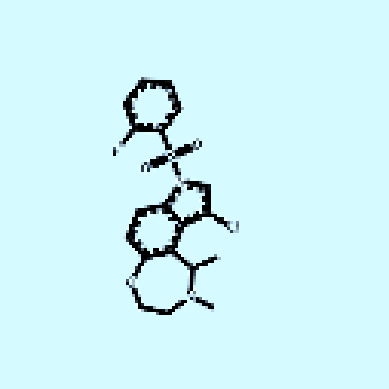 CC1c2c(ccc3c2c(Cl)cn3S(=O)(=O)c2ccccc2F)OCCN1C